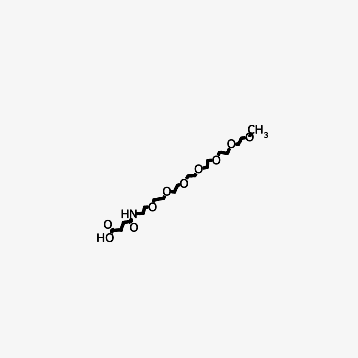 COCCOCCOCCOCCOCCOCCOCCNC(=O)CCC(=O)O